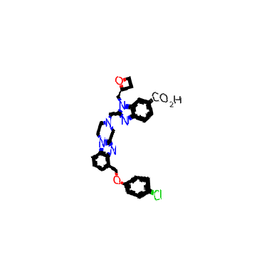 O=C(O)c1ccc2nc(CN3CCn4c(nc5c(COc6ccc(Cl)cc6)cccc54)C3)n(C[C@@H]3CCO3)c2c1